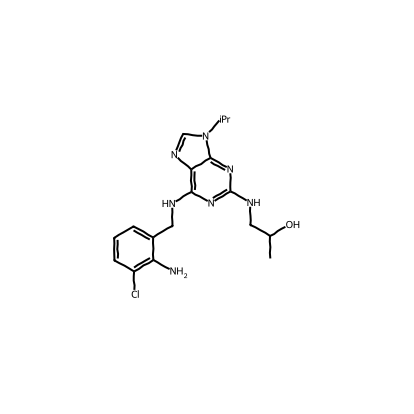 CC(O)CNc1nc(NCc2cccc(Cl)c2N)c2ncn(C(C)C)c2n1